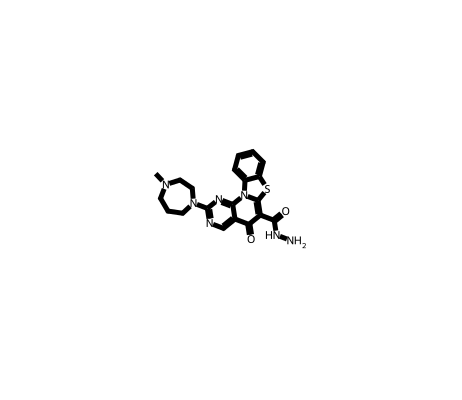 CN1CCCN(c2ncc3c(=O)c(C(=O)NN)c4sc5ccccc5n4c3n2)CC1